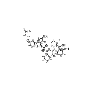 C[C@@H]1CCC[C@H](C)N1C(=N)n1cc(O[C@@H]2CC[C@H](NC(=O)Nc3cc(C(C)(C)C)nn3-c3cccc(OCCN(C)C)c3)c3ccccc32)ccc1=N